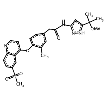 COC(C)(C)c1cc(NC(=O)Cc2ccc(Oc3ccnc4ccc(S(C)(=O)=O)cc34)c(C)c2)n[nH]1